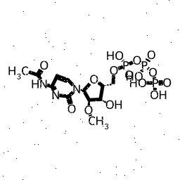 CO[C@@H]1[C@@H](O)[C@@H](COP(=O)(O)OP(=O)(O)OP(=O)(O)O)O[C@H]1n1ccc(NC(C)=O)nc1=O